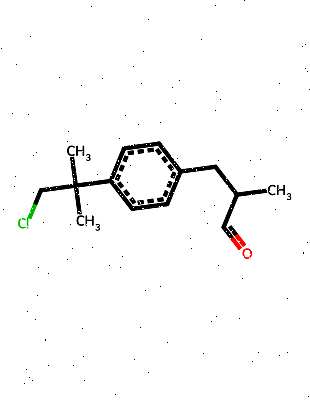 CC(C=O)Cc1ccc(C(C)(C)CCl)cc1